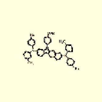 COc1ccc(-n2c3cc(N(c4ccc(C(C)(C)C)cc4)c4cccc(C)c4)ccc3c3cc4ccc(N(c5ccc(C(C)(C)C)cc5)c5cccc(C)c5)cc4cc32)cc1